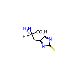 CC[C@](N)(CC1=NC(=S)N=C1)C(=O)O